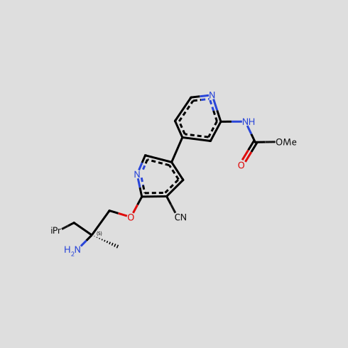 COC(=O)Nc1cc(-c2cnc(OC[C@@](C)(N)CC(C)C)c(C#N)c2)ccn1